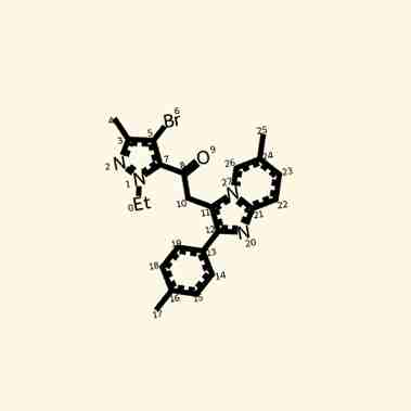 CCn1nc(C)c(Br)c1C(=O)Cc1c(-c2ccc(C)cc2)nc2ccc(C)cn12